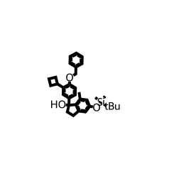 Cc1cc(O[Si](C)(C)C(C)(C)C)cc2c1C(O)(c1ccc(OCc3ccccc3)c(C3CCC3)c1)CC2